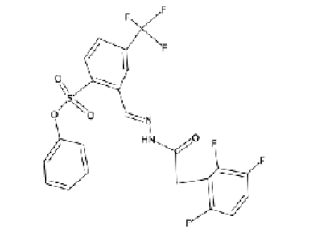 O=C(Cc1c(F)ccc(F)c1F)NN=Cc1cc(C(F)(F)F)ccc1S(=O)(=O)Oc1ccccc1